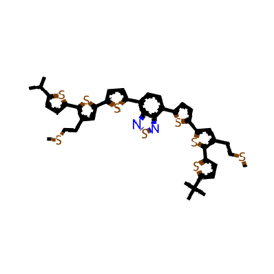 CSCCc1cc(-c2ccc(-c3ccc(-c4ccc(-c5cc(CCSC)c(-c6ccc(C(C)(C)C)s6)s5)s4)c4nsnc34)s2)sc1-c1ccc(C(C)C)s1